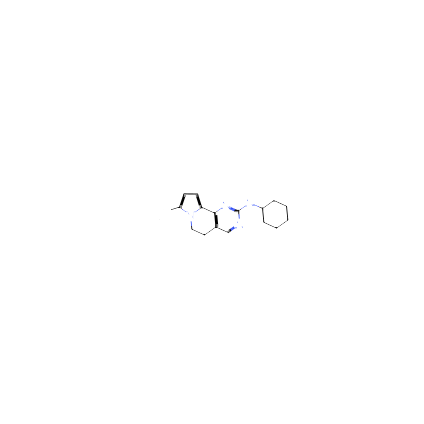 CCOC(=O)c1ccc2n1CCc1cnc(NC3CCCCC3)nc1-2